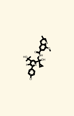 COc1cc(C(=O)NCC(O)(c2cc(C(C)(C)O)c(F)c(-c3ccc(Cl)cc3)n2)C2CC2)cc2cc(C)cnc12